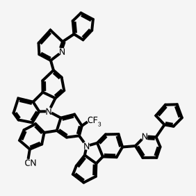 N#Cc1cccc(-c2cc(-n3c4ccccc4c4cc(-c5cccc(-c6ccccc6)n5)ccc43)c(C(F)(F)F)cc2-n2c3ccccc3c3cc(-c4cccc(-c5ccccc5)n4)ccc32)c1